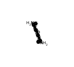 Nc1ccc(N=Nc2ccc(OC(=O)c3ccc(N=Nc4ccc(N)c5ccccc45)cc3)cc2)c2ccccc12